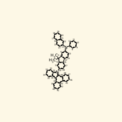 CC1(C)c2cc(N(c3ccccc3)c3ccc4ccccc4c3)ccc2-c2ccc(-n3c4ccccc4c4c5ccccc5c5ccccc5c43)cc21